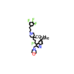 COc1ccc2ncc(CN3CCOCC3)c([C@@H](F)CCC3(CC(=O)O)CCN(CCCc4cc(F)c(F)c(F)c4)CC3)c2c1